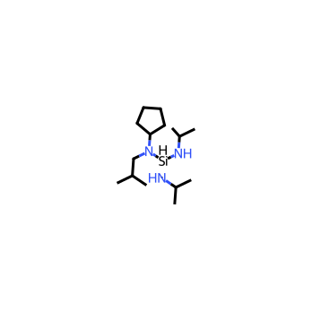 CC(C)CN(C1CCCC1)[SiH](NC(C)C)NC(C)C